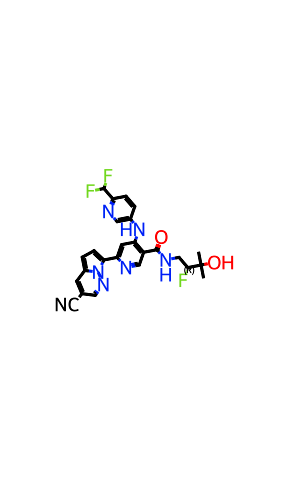 CC(C)(O)[C@H](F)CNC(=O)c1cnc(-c2ccc3cc(C#N)cnn23)cc1Nc1ccc(C(F)F)nc1